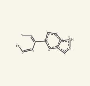 C/C=C(\C=C/CC)c1ccc2[nH]ncc2c1